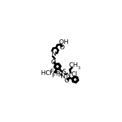 CCCCN(C(=O)c1ccccc1Cl)c1nnc(-c2ccc(OCCN3CCC(CC(=O)O)CC3)cc2C(F)(F)F)s1.Cl